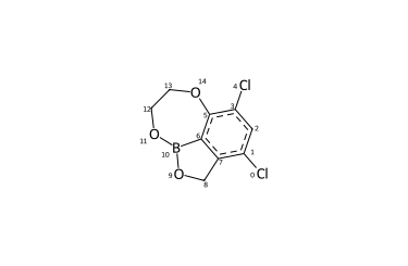 Clc1cc(Cl)c2c3c1COB3OCCO2